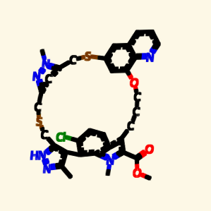 COC(=O)c1c2c3ccc(Cl)c(c3n1C)-c1c(C)n[nH]c1CSCc1cc(n(C)n1)CSc1cc(c3ncccc3c1)OCCC2